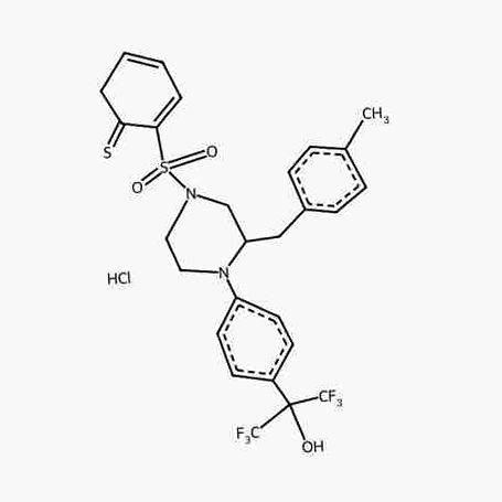 Cc1ccc(CC2CN(S(=O)(=O)C3=CC=CCC3=S)CCN2c2ccc(C(O)(C(F)(F)F)C(F)(F)F)cc2)cc1.Cl